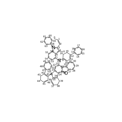 C/C=C\c1c(C)c2c(N(C3=CC=C(c4ccccc4)CC3)c3cc4c(c5oc6ccccc6c35)C3=C(C=CCC3)C43C4=C(CCC=C4)c4ccccc43)cccc2n1-c1ccccc1